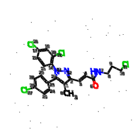 Cc1c(/C=C/C(=O)NCCCCl)nn(-c2ccc(Cl)cc2Cl)c1-c1ccc(Cl)cc1